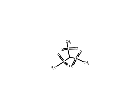 CS(=O)(=O)C(S(C)(=O)=O)S(C)(=O)=O